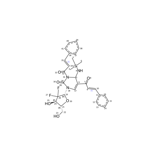 C[Si](C)(C)NC1C(C(=O)/C=C/c2ccccc2)=CN([C@@H]2O[C@H](CO)[C@@H](O)C2(F)F)C(=O)N1C(=O)/C=C/c1ccccc1